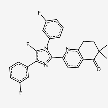 CC1(C)CCc2nc(-c3nc(-c4cccc(F)c4)c(F)n3-c3cccc(F)c3)ccc2C1=O